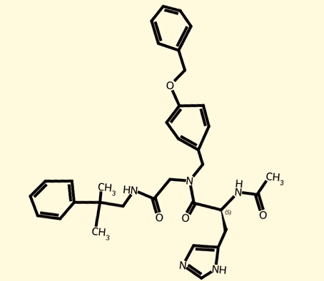 CC(=O)N[C@@H](Cc1cnc[nH]1)C(=O)N(CC(=O)NCC(C)(C)c1ccccc1)Cc1ccc(OCc2ccccc2)cc1